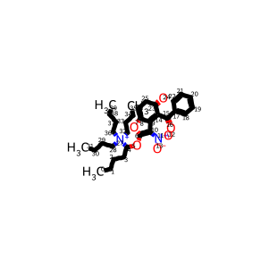 CCCCC(Oc1oc2c(c1[N+](=O)[O-])=C(C(=O)c1ccccc1)C(=O)CC=2)[N+](CCCC)(CCCC)CCCC